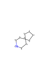 [CH]1CCCC12[CH]C[N]CC2